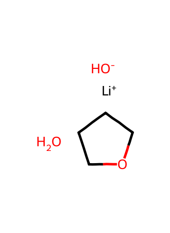 C1CCOC1.O.[Li+].[OH-]